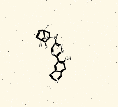 CN(c1cnc(-c2cc3ccncc3cc2O)nn1)[C@H]1C[C@]2(C)C=C[C@@H](N2)[C@@H]1F